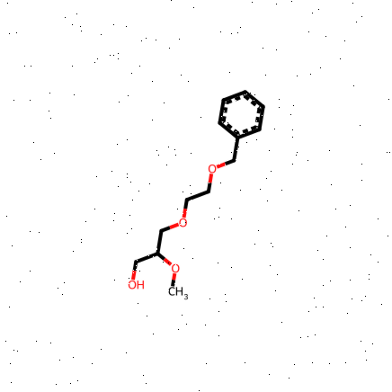 COC(CO)COCCOCc1ccccc1